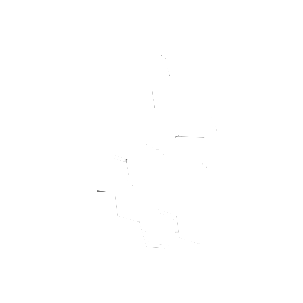 C[C@@H](O)[C@H](N)C(=O)N[C@@H](CCCCN)C(=O)N[C@@H](Cc1ccc(O)cc1)C(=O)O